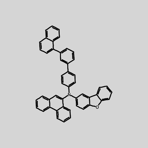 c1cc(-c2ccc(N(c3ccc4oc5ccccc5c4c3)c3cc4ccccc4c4ccccc34)cc2)cc(-c2cccc3ccccc23)c1